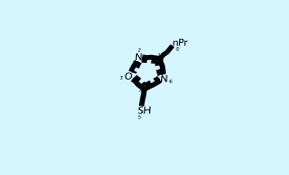 CCCc1noc(S)n1